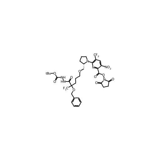 CC(C)(C)OC(=O)NNC(=O)C(CCCOC[C@@H]1CCCN1c1nc(C(=O)ON2C(=O)CCC2=O)c([N+](=O)[O-])cc1C(F)(F)F)(OCc1ccccc1)C(F)(F)F